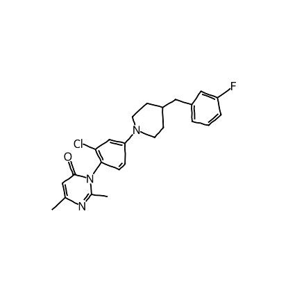 Cc1cc(=O)n(-c2ccc(N3CCC(Cc4cccc(F)c4)CC3)cc2Cl)c(C)n1